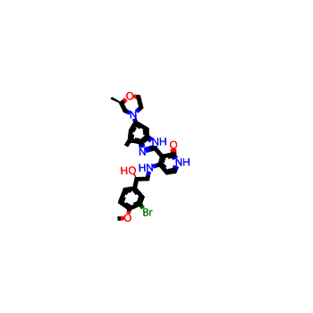 COc1ccc([C@H](O)CNc2cc[nH]c(=O)c2-c2nc3c(C)cc(N4CCO[C@H](C)C4)cc3[nH]2)cc1Br